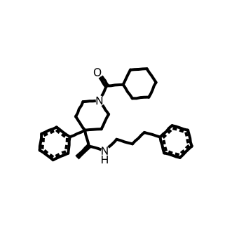 C=C(NCCCc1ccccc1)C1(c2ccccc2)CCN(C(=O)C2CCCCC2)CC1